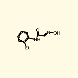 CCc1ccccc1NC(=O)C=NO